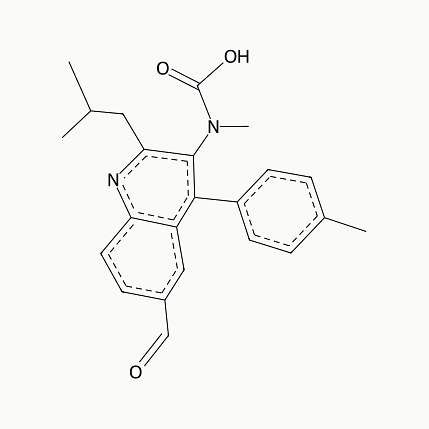 Cc1ccc(-c2c(N(C)C(=O)O)c(CC(C)C)nc3ccc(C=O)cc23)cc1